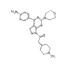 CN1CCC(CC(=O)n2ncc3c(-c4ccc(N)nc4)nc(N4CCOCC4)nc32)CC1